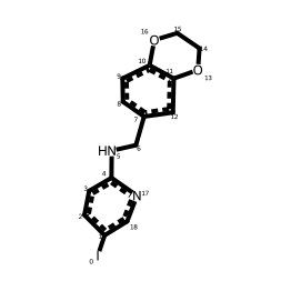 Ic1ccc(NCc2ccc3c(c2)OCCO3)nc1